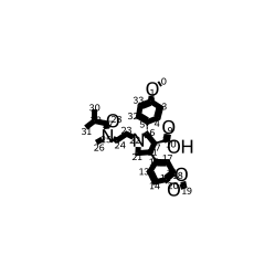 COc1ccc([C@@H]2[C@@H](C(=O)O)[C@@H](c3ccc4c(c3)OCO4)CN2CCN(C)C(=O)C(C)C)cc1